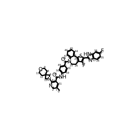 Cc1cnc(N2CC3(CCOCC3)C2)c(C(=O)Nc2ccc(C(=O)N3CCc4c(sc(-c5nc6ccc(F)cc6[nH]5)c4F)-c4ccccc43)cc2)c1